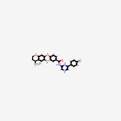 CCOC(=O)C1CCOc2cc(Oc3ccc(C(=O)Nc4cncc(-c5ccc(Cl)cc5)n4)cc3)c(Cl)cc21